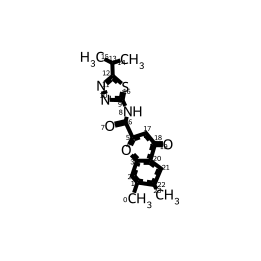 Cc1cc2oc(C(=O)Nc3nnc(C(C)C)s3)cc(=O)c2cc1C